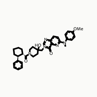 COc1ccc(N(C)c2ccc3ncn(CC4(O)CCN(C(=O)[C@H]5CCCC[C@@H]5c5ccccc5)CC4)c(=O)c3n2)cc1